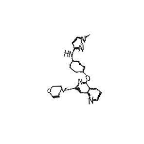 Cn1ccc(NC2CCC(Oc3nc(N4CCOCC4)cc4ncccc34)CC2)n1